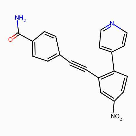 NC(=O)c1ccc(C#Cc2cc([N+](=O)[O-])ccc2-c2ccncc2)cc1